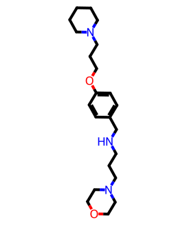 c1cc(OCCCN2CCCCC2)ccc1CNCCCN1CCOCC1